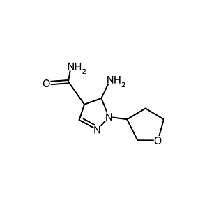 NC(=O)C1C=NN(C2CCOC2)C1N